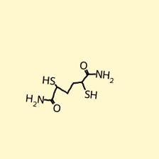 NC(=O)C(S)CCC(S)C(N)=O